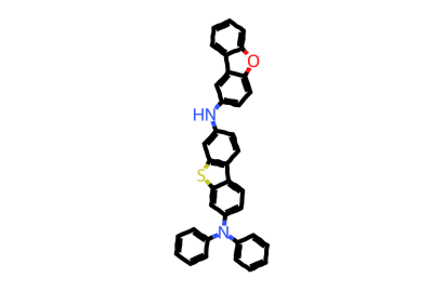 c1ccc(N(c2ccccc2)c2ccc3c(c2)sc2cc(Nc4ccc5oc6ccccc6c5c4)ccc23)cc1